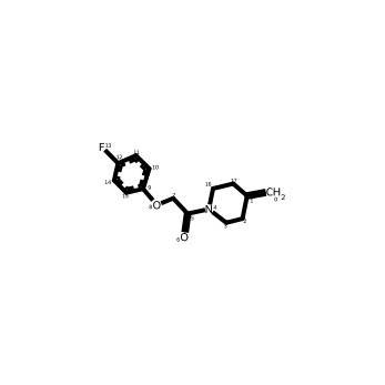 C=C1CCN(C(=O)COc2ccc(F)cc2)CC1